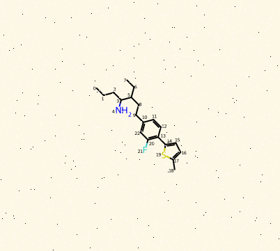 CCCC(N)C(CC)CCc1ccc(-c2ccc(C)s2)c(F)c1